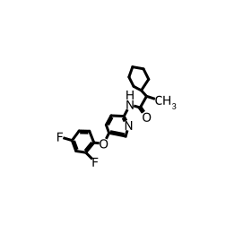 CC(C(=O)Nc1ccc(Oc2ccc(F)cc2F)cn1)C1CCCCC1